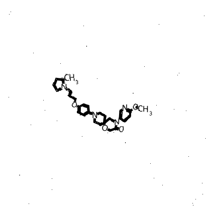 COc1ccc(N2CC3(CCN(c4ccc(OCCCN5CCC[C@H]5C)cc4)CC3)OCC2=O)cn1